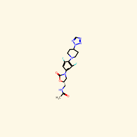 CC(=O)NC[C@H]1CN(c2cc(F)c(N3CCC(n4ncnn4)CC3)c(F)c2)C(=O)O1